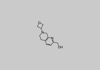 OCc1ccc2c(n1)CN(C1COC1)CC2